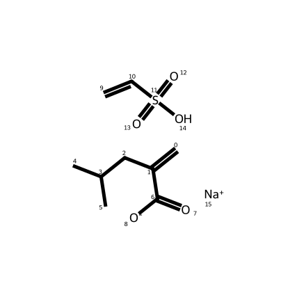 C=C(CC(C)C)C(=O)[O-].C=CS(=O)(=O)O.[Na+]